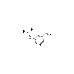 C=Cc1c[c]cc(OC(F)F)c1